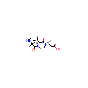 CNC(C)(C)C(=O)N(C)[C@H](C(=O)N(C)[C@H](C)CC(=O)O)C(C)C